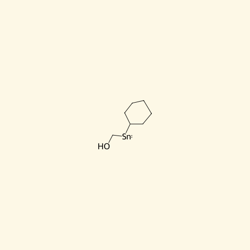 O[CH2][Sn][CH]1CCCCC1